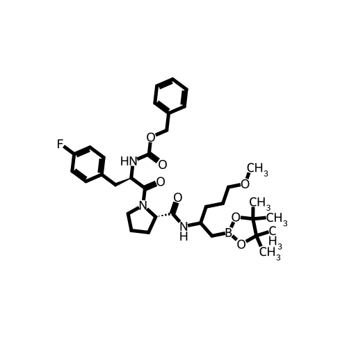 COCCCC(CB1OC(C)(C)C(C)(C)O1)NC(=O)[C@@H]1CCCN1C(=O)[C@@H](Cc1ccc(F)cc1)NC(=O)OCc1ccccc1